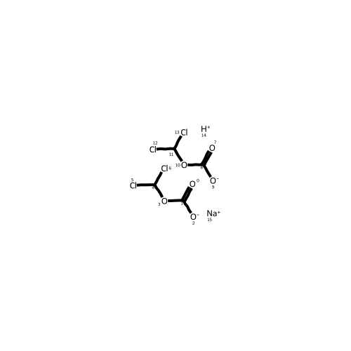 O=C([O-])OC(Cl)Cl.O=C([O-])OC(Cl)Cl.[H+].[Na+]